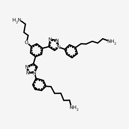 NCCCCCc1cccc(-n2cc(-c3cc(OCCCN)cc(-c4cn(-c5cccc(CCCCCN)c5)nn4)c3)nn2)c1